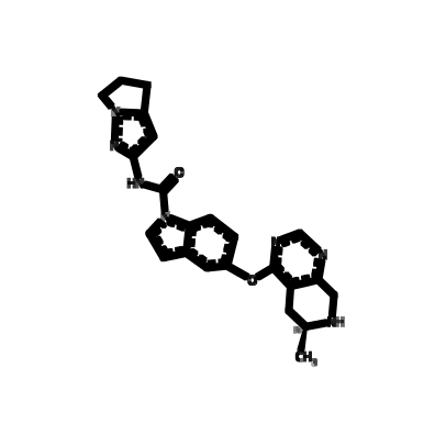 C[C@H]1Cc2c(ncnc2Oc2ccc3c(ccn3C(=O)Nc3cc4n(n3)CCC4)c2)CN1